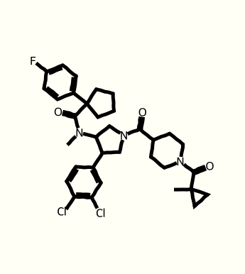 CN(C(=O)C1(c2ccc(F)cc2)CCCC1)C1CN(C(=O)C2CCN(C(=O)C3(C)CC3)CC2)CC1c1ccc(Cl)c(Cl)c1